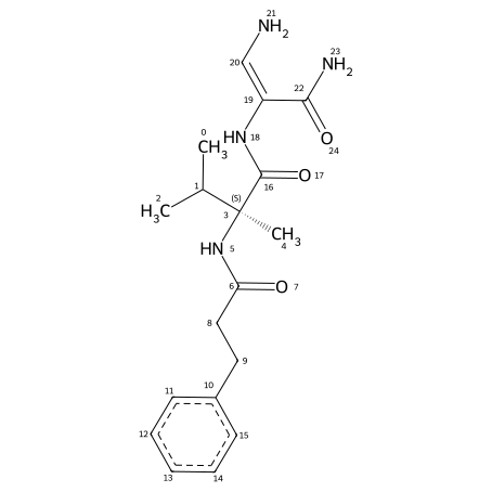 CC(C)[C@](C)(NC(=O)CCc1ccccc1)C(=O)NC(=CN)C(N)=O